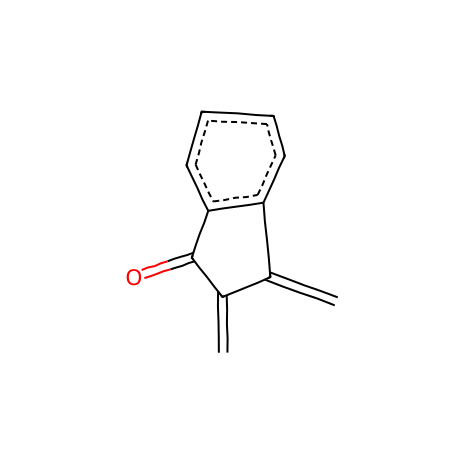 C=C1C(=C)c2ccccc2C1=O